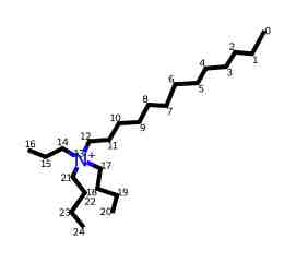 CCCCCCCCCCCCC[N+](CCC)(CCCC)CCCC